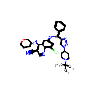 CC(C)(C)N1CCC(n2cc([C@@H](Nc3cc(Cl)c4ncc(C#N)c(N[C@@H]5CCCOC5)c4c3)c3ccccc3)nn2)CC1